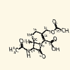 CC(=O)NC1C(=O)N2C(C(=O)O)=C(COC(C)=O)CS[C@@H]12